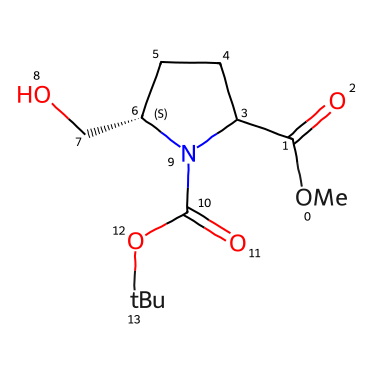 COC(=O)C1CC[C@@H](CO)N1C(=O)OC(C)(C)C